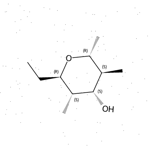 CC[C@H]1O[C@H](C)[C@@H](C)[C@H](O)[C@@H]1C